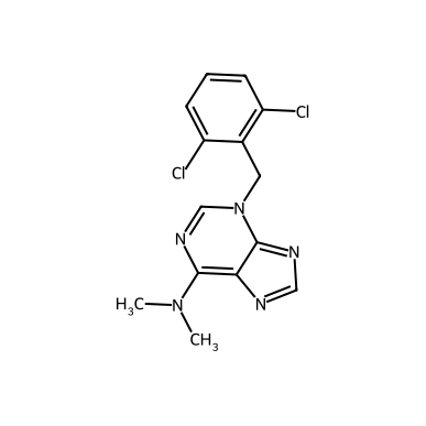 CN(C)c1ncn(Cc2c(Cl)cccc2Cl)c2ncnc1-2